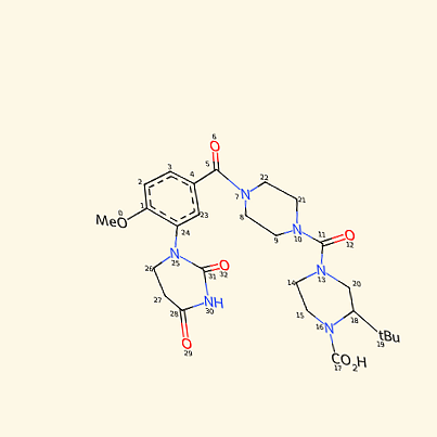 COc1ccc(C(=O)N2CCN(C(=O)N3CCN(C(=O)O)C(C(C)(C)C)C3)CC2)cc1N1CCC(=O)NC1=O